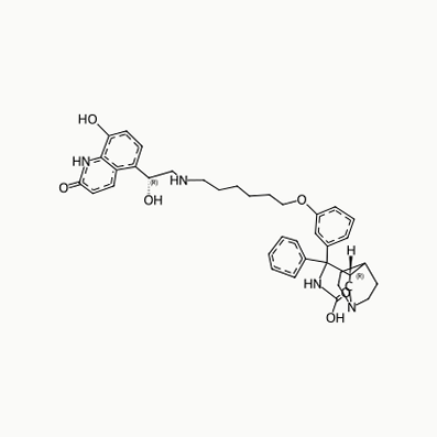 O=C(O)NC(c1ccccc1)(c1cccc(OCCCCCCNC[C@H](O)c2ccc(O)c3[nH]c(=O)ccc23)c1)[C@H]1CN2CCC1CC2